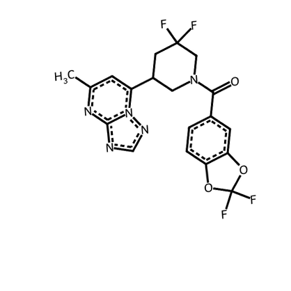 Cc1cc(C2CN(C(=O)c3ccc4c(c3)OC(F)(F)O4)CC(F)(F)C2)n2ncnc2n1